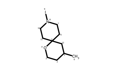 CC1CCOC2(CCN(I)CC2)C1